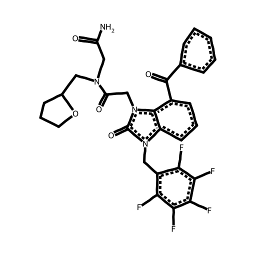 NC(=O)CN(CC1CCCO1)C(=O)Cn1c(=O)n(Cc2c(F)c(F)c(F)c(F)c2F)c2cccc(C(=O)c3ccccc3)c21